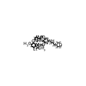 CC[Si](C)(C)c1ccc(C)c(Oc2ccc(C(=O)Nc3c(OC)nc(NCCCN4CCOCC4)nc3OC)o2)c1